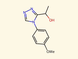 COc1ccc(-n2cnnc2C(C)O)cc1